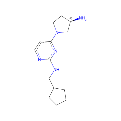 N[C@@H]1CCN(c2ccnc(NCC3CCCC3)n2)C1